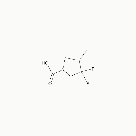 CC1CN(C(=O)O)CC1(F)F